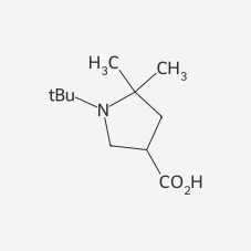 CC(C)(C)N1CC(C(=O)O)CC1(C)C